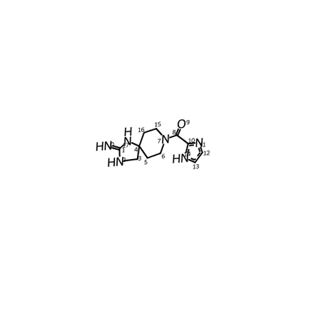 N=C1NCC2(CCN(C(=O)c3ncc[nH]3)CC2)N1